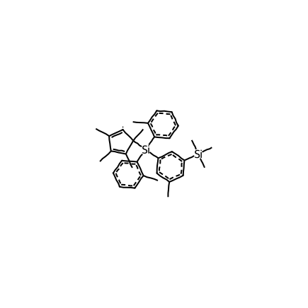 CC1=[C]C(C)([Si](c2cc(C)cc([Si](C)(C)C)c2)(c2ccccc2C)c2ccccc2C)C(C)=C1C